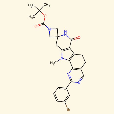 Cn1c2c(c3c1-c1nc(-c4cccc(Br)c4)ncc1CC3)C(=O)NC1(C2)CN(C(=O)OC(C)(C)C)C1